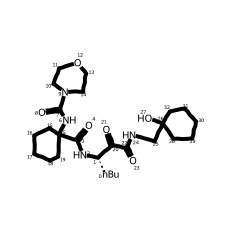 CCCC[C@H](NC(=O)C1(NC(=O)N2CCOCC2)CCCCC1)C(=O)C(=O)NCC1(O)CCCCC1